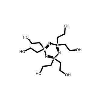 OCCP1(CCO)=NP(CCO)(CCO)=NP(CCO)(CCO)=N1